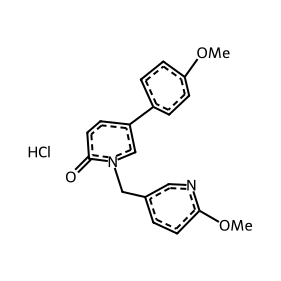 COc1ccc(-c2ccc(=O)n(Cc3ccc(OC)nc3)c2)cc1.Cl